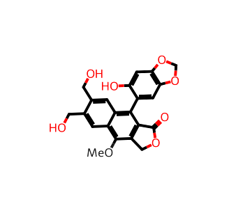 COc1c2c(c(-c3cc4c(cc3O)OCO4)c3cc(CO)c(CO)cc13)C(=O)OC2